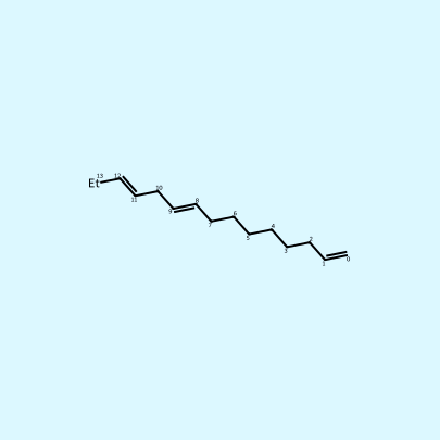 C=CCCCCCCC=CCC=CCC